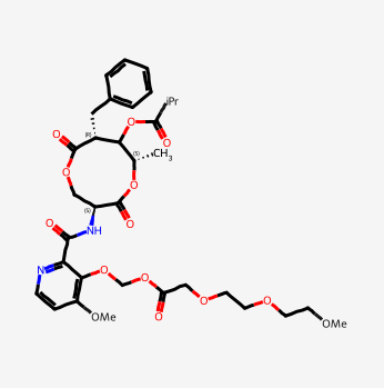 COCCOCCOCC(=O)OCOc1c(OC)ccnc1C(=O)N[C@H]1COC(=O)[C@H](Cc2ccccc2)C(OC(=O)C(C)C)[C@H](C)OC1=O